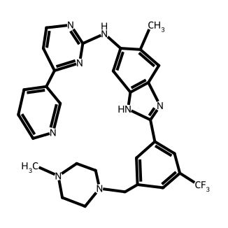 Cc1cc2nc(-c3cc(CN4CCN(C)CC4)cc(C(F)(F)F)c3)[nH]c2cc1Nc1nccc(-c2cccnc2)n1